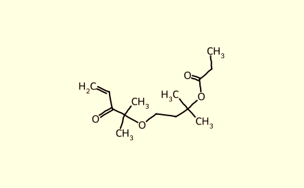 C=CC(=O)C(C)(C)OCCC(C)(C)OC(=O)CC